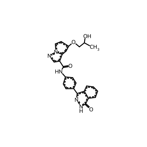 CC(O)COc1ccn2ncc(C(=O)Nc3ccc(-c4n[nH]c(=O)c5ccccc45)cc3)c2c1